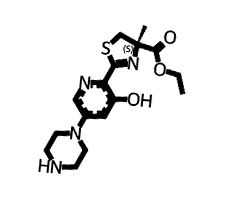 CCOC(=O)[C@@]1(C)CSC(c2ncc(N3CCNCC3)cc2O)=N1